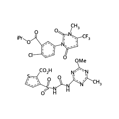 CC(C)OC(=O)c1cc(-n2c(=O)cc(C(F)(F)F)n(C)c2=O)ccc1Cl.COc1nc(C)nc(NC(=O)NS(=O)(=O)c2ccsc2C(=O)O)n1